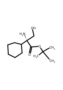 CC(C)(C)OC(=O)[C@](N)(CO)C1CCCCC1